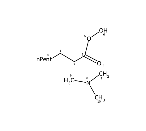 CCCCCCCC(=O)OO.CN(C)C